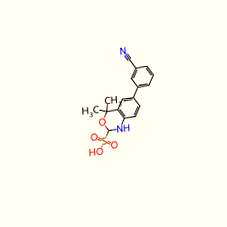 CC1(C)OC(S(=O)(=O)O)Nc2ccc(-c3cccc(C#N)c3)cc21